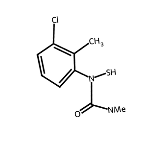 CNC(=O)N(S)c1cccc(Cl)c1C